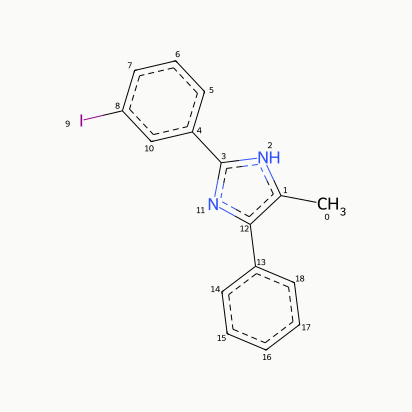 Cc1[nH]c(-c2cccc(I)c2)nc1-c1ccccc1